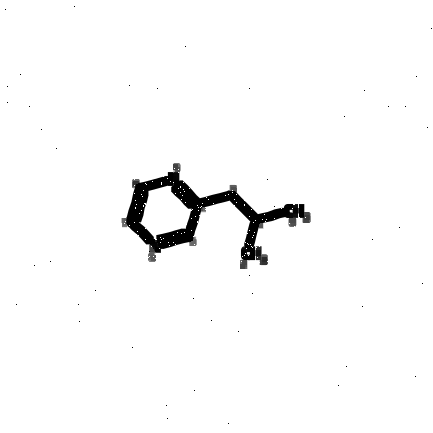 CC(C)Cc1cn[c]cn1